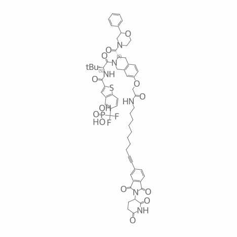 CC(C)(C)[C@H](NC(=O)c1cc2cc(C(F)(F)P(=O)(O)O)ccc2s1)C(=O)N1Cc2cc(OCC(=O)NCCCCCCCCC#Cc3ccc4c(c3)C(=O)N(C3CCC(=O)NC3=O)C4=O)ccc2C[C@H]1C(=O)N1CCOC(c2ccccc2)C1